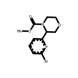 CC(C)(C)OC(=O)N1CCOCC1c1cccc(Br)n1